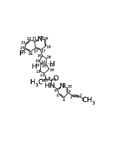 CC#Cc1ccc(NC(=O)C(C)[C@H]2C[C@H]3CC(c4ccnc5ccc(F)cc45)C[C@H]3C2)nc1